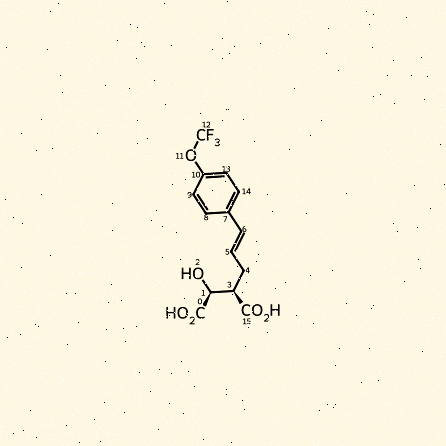 O=C(O)[C@@H](O)[C@@H](CC=Cc1ccc(OC(F)(F)F)cc1)C(=O)O